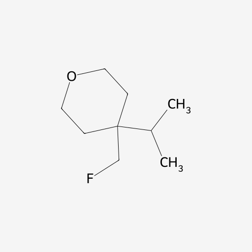 CC(C)C1(CF)CCOCC1